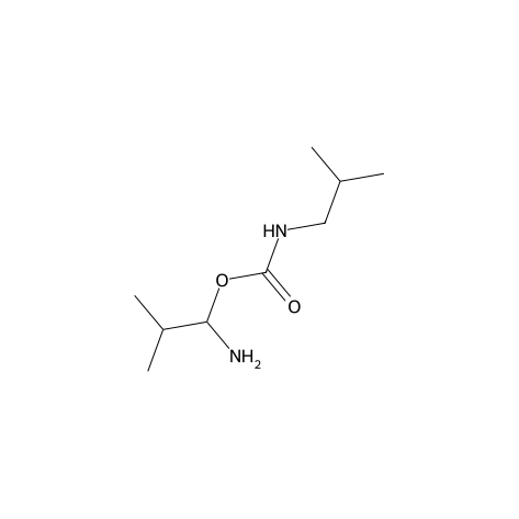 CC(C)CNC(=O)OC(N)C(C)C